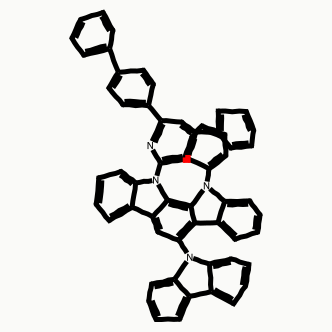 c1ccc(-c2ccc(-c3cc(-c4ccccc4)nc(-n4c5ccccc5c5cc(-n6c7ccccc7c7ccccc76)c6c7ccccc7n(-c7ccccc7)c6c54)n3)cc2)cc1